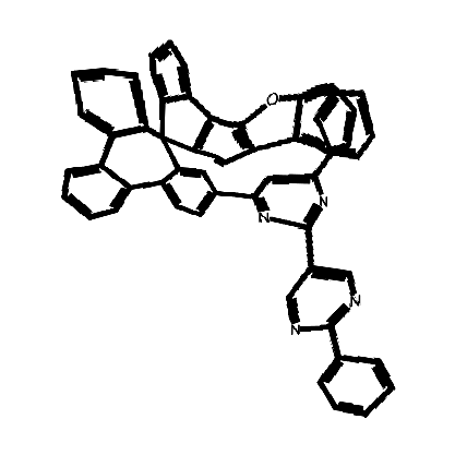 c1ccc(-c2cc(-c3ccc4c(c3)C3(c5ccccc5-c5ccccc5-4)c4ccccc4-c4c3ccc3c4oc4ccccc43)nc(-c3cnc(-c4ccccc4)nc3)n2)cc1